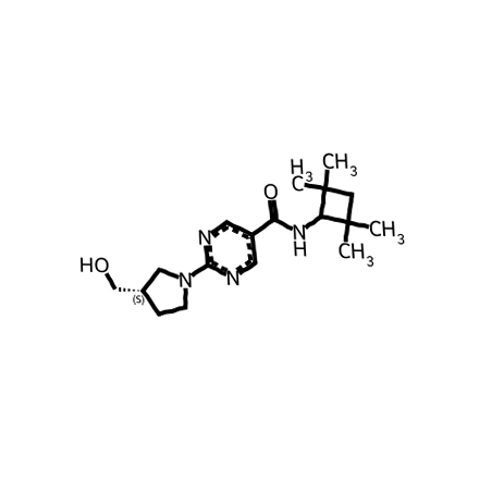 CC1(C)CC(C)(C)C1NC(=O)c1cnc(N2CC[C@H](CO)C2)nc1